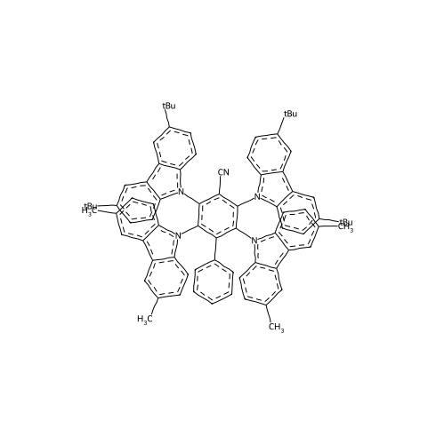 Cc1ccc2c(c1)c1cc(C)ccc1n2-c1c(-c2ccccc2)c(-n2c3ccc(C)cc3c3cc(C)ccc32)c(-n2c3ccc(C(C)(C)C)cc3c3cc(C(C)(C)C)ccc32)c(C#N)c1-n1c2ccc(C(C)(C)C)cc2c2cc(C(C)(C)C)ccc21